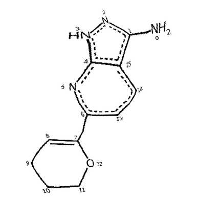 Nc1n[nH]c2nc(C3=CCCCO3)ccc12